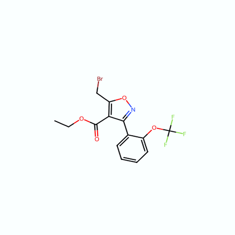 CCOC(=O)c1c(-c2ccccc2OC(F)(F)F)noc1CBr